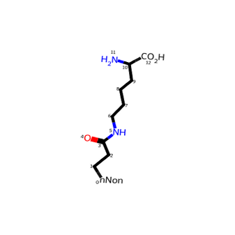 CCCCCCCCCCCC(=O)NCCCCC(N)C(=O)O